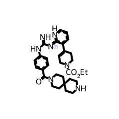 CCOC(=O)N1CC=C(c2ccc[nH]/c2=N\C(=N)Nc2ccc(C(=O)N3CCC4(CCNCC4)CC3)cc2)CC1